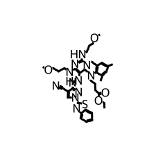 CCOC(=O)CCCN(c1nc(NCCCOC)nc(NCCCOC)c1N=Nc1nn(-c2nc3ccccc3s2)cc1C#N)c1c(C)cc(C)cc1C